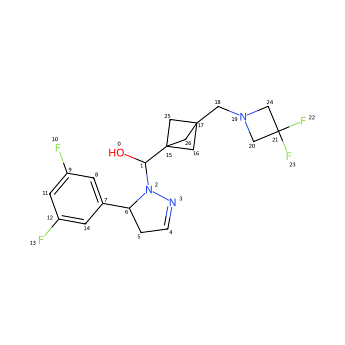 OC(N1N=CCC1c1cc(F)cc(F)c1)C12CC(CN3CC(F)(F)C3)(C1)C2